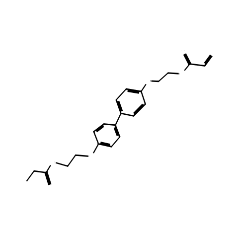 C=CC(=O)OCCOc1ccc(-c2ccc(OCCOC(=O)CC)cc2)cc1